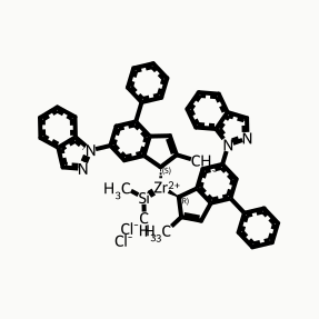 CC1=Cc2c(-c3ccccc3)cc(-n3ncc4ccccc43)cc2[C@@H]1[Zr+2]([C@H]1C(C)=Cc2c(-c3ccccc3)cc(-n3ncc4ccccc43)cc21)=[Si](C)C.[Cl-].[Cl-]